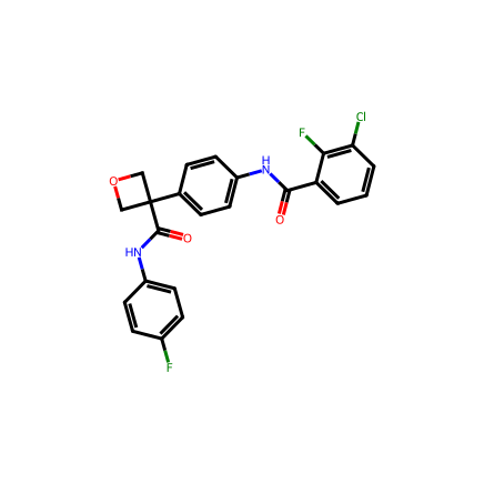 O=C(Nc1ccc(C2(C(=O)Nc3ccc(F)cc3)COC2)cc1)c1cccc(Cl)c1F